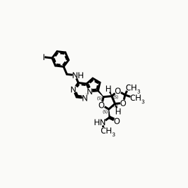 CNC(=O)[C@H]1O[C@@H](c2ccc3c(NCc4cccc(I)c4)ncnn23)[C@@H]2OC(C)(C)O[C@@H]21